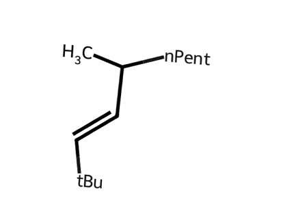 CCCCCC(C)C=CC(C)(C)C